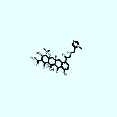 CN(C)[C@@H]1C(O)=C(C(N)=O)C(=O)[C@@]2(O)C(O)=C3C(=O)c4c(O)ccc(C(=O)CNCc5cncn5C)c4C[C@H]3C[C@@H]12